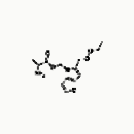 CCOOCc1cc2occc2n1COC(=O)C(C)N